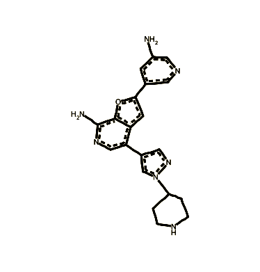 Nc1cncc(-c2cc3c(-c4cnn(C5CCNCC5)c4)cnc(N)c3o2)c1